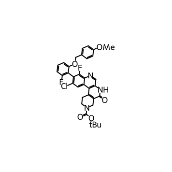 COc1ccc(COc2cccc(F)c2-c2c(Cl)cc3c(ncc4[nH]c(=O)c5c(c43)CCN(C(=O)OC(C)(C)C)C5)c2F)cc1